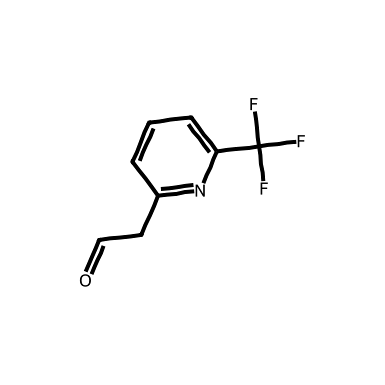 O=CCc1cccc(C(F)(F)F)n1